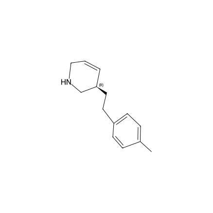 Cc1ccc(CC[C@@H]2C=CCNC2)cc1